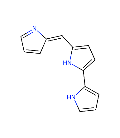 C1=CC(=Cc2ccc(-c3ccc[nH]3)[nH]2)N=C1